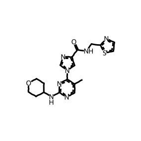 Cc1cnc(NC2CCOCC2)nc1-n1cnc(C(=O)NCc2nccs2)c1